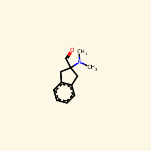 CN(C)C1([C]=O)Cc2ccccc2C1